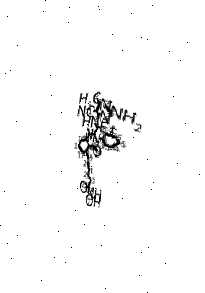 CCC(Nc1nc(N)nc(C)c1C#N)c1nc2cccc(CCCCCC(=O)NO)c2c(=O)n1-c1ccccc1